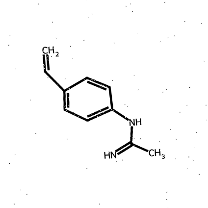 C=Cc1ccc(NC(C)=N)cc1